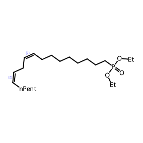 CCCCC/C=C\C/C=C\CCCCCCCCP(=O)(OCC)OCC